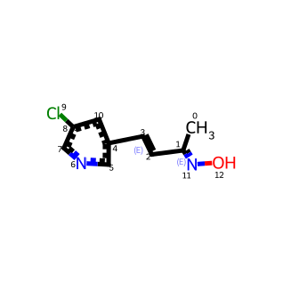 CC(/C=C/c1cncc(Cl)c1)=N\O